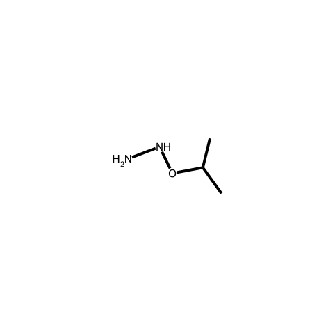 CC(C)ONN